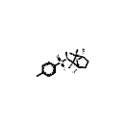 Cc1ccc(S(=O)(=O)N(C)[C@@]2(C)[C@@H]3CC[C@@H](O3)C2(C)C)cc1